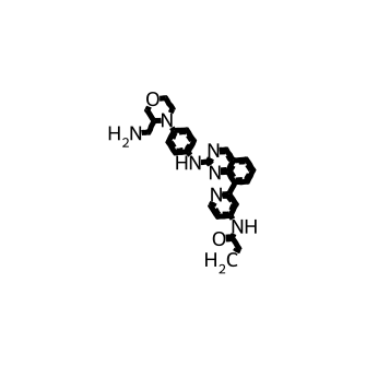 C=CC(=O)Nc1ccnc(-c2cccc3cnc(Nc4ccc(N5CCOCC5CN)cc4)nc23)c1